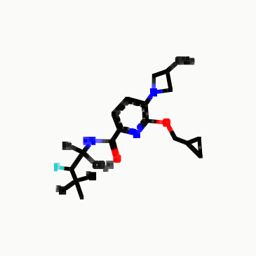 [2H]C([2H])(C)C(F)C(CC)(NC(=O)c1ccc(N2CC(OC)C2)c(OCC2CC2)n1)C(=O)O